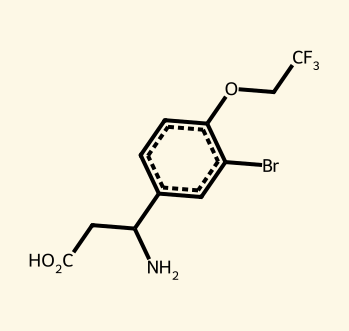 NC(CC(=O)O)c1ccc(OCC(F)(F)F)c(Br)c1